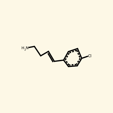 NCCC=Cc1ccc(Cl)cc1